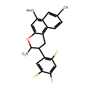 COc1cc2c(c3ccc(C#N)cc13)CC(c1cc(F)c(F)cc1F)C([N+](=O)[O-])O2